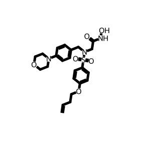 C=CCCOc1ccc(S(=O)(=O)N(CC(=O)NO)Cc2ccc(N3CCOCC3)cc2)cc1